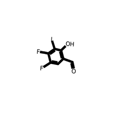 O=Cc1cc(F)c(F)c(I)c1O